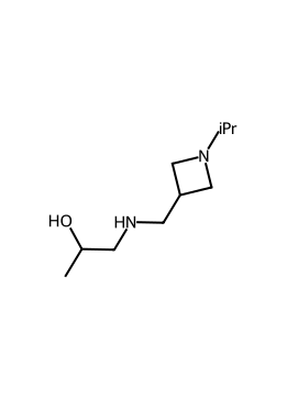 CC(O)CNCC1CN(C(C)C)C1